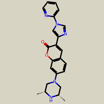 C[C@@H]1CN(c2ccc3cc(-c4cn(-c5ccccn5)cn4)c(=O)oc3c2)C[C@H](C)N1